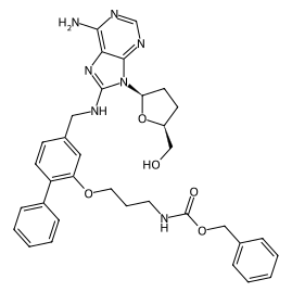 Nc1ncnc2c1nc(NCc1ccc(-c3ccccc3)c(OCCCNC(=O)OCc3ccccc3)c1)n2[C@H]1CC[C@@H](CO)O1